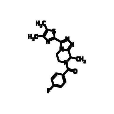 Cc1nc(-c2nnc3n2CCN(C(=O)c2ccc(F)cc2)C3C)sc1C